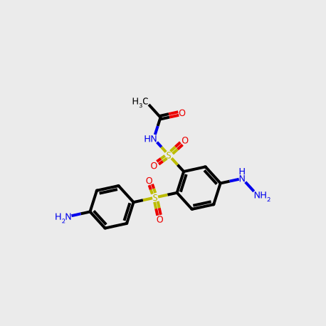 CC(=O)NS(=O)(=O)c1cc(NN)ccc1S(=O)(=O)c1ccc(N)cc1